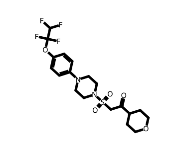 O=C(CS(=O)(=O)N1CCN(c2ccc(OC(F)(F)C(F)F)cc2)CC1)C1CCOCC1